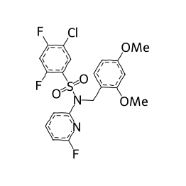 COc1ccc(CN(c2cccc(F)n2)S(=O)(=O)c2cc(Cl)c(F)cc2F)c(OC)c1